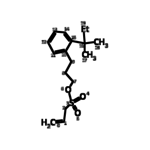 C=CCS(=O)(=O)OCCCc1ccccc1C(C)(C)CC